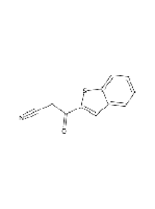 N#CCC(=O)c1cc2ccccc2s1